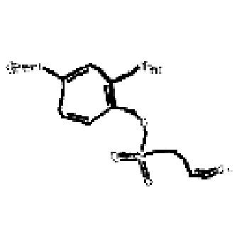 C=CCS(=O)(=O)Oc1ccc(CCCCC)cc1CCCCC